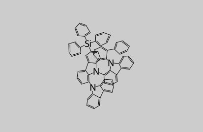 c1ccc(-c2ccccc2-n2c3ccccc3c3cccc(-n4c5ccc([Si](c6ccccc6)(c6ccccc6)c6ccccc6)cc5c5cccc(-n6c7ccccc7c7ccccc76)c54)c32)cc1